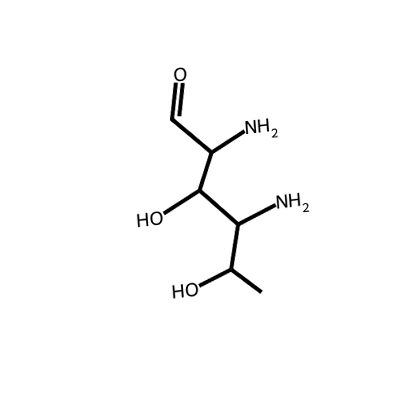 CC(O)C(N)C(O)C(N)C=O